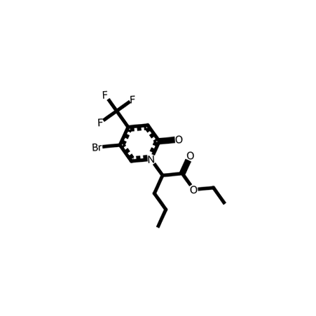 CCCC(C(=O)OCC)n1cc(Br)c(C(F)(F)F)cc1=O